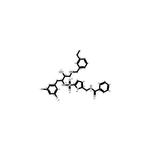 CCc1cccc(CNCC(O)C(Cc2cc(F)cc(F)c2)NS(=O)(=O)c2ccc(CNC(=O)c3ccccc3)s2)c1